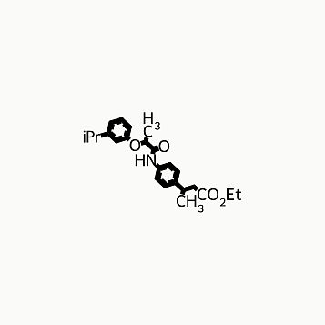 CCOC(=O)CC(C)c1ccc(NC(=O)C(C)Oc2cccc(C(C)C)c2)cc1